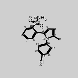 Cc1ccc(-c2ccccc2S(N)(=O)=O)n1-c1ccc(Cl)cc1